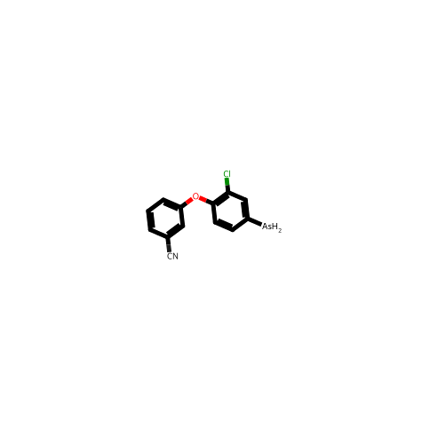 N#Cc1cccc(Oc2ccc([AsH2])cc2Cl)c1